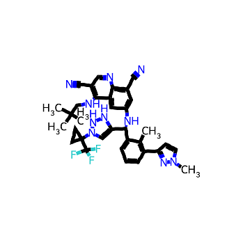 Cc1c(-c2ccn(C)n2)cccc1[C@H](Nc1cc(C#N)c2ncc(C#N)c(NCC(C)(C)C)c2c1)C1=CN(C2(C(F)(F)F)CC2)NN1